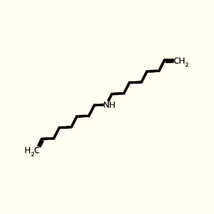 C=CCCCCCCNCCCCCCC=C